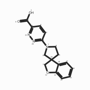 O=C(O)c1ccc(N2CCC3(COc4ccccc43)C2)nn1